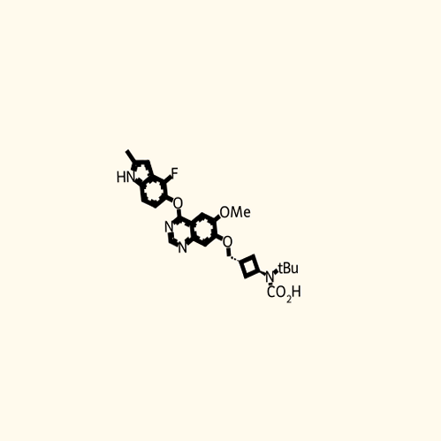 COc1cc2c(Oc3ccc4[nH]c(C)cc4c3F)ncnc2cc1OC[C@H]1C[C@H](N(C(=O)O)C(C)(C)C)C1